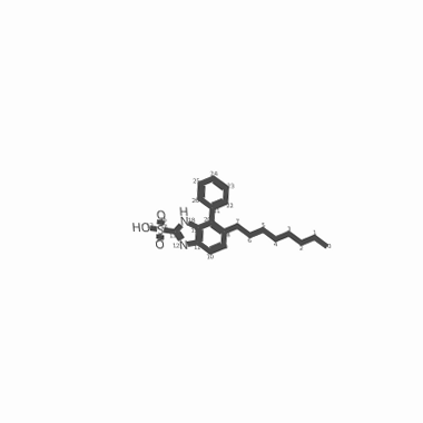 CCCCCCCCc1ccc2nc(S(=O)(=O)O)[nH]c2c1-c1ccccc1